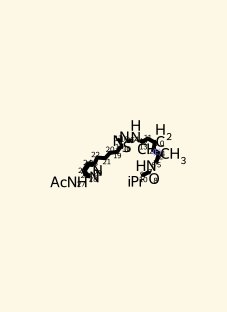 C=C(/C=C(\C)CNC(=O)CC(C)C)CC(=C)Nc1nnc(CCCCc2ccc(NC(C)=O)nn2)s1